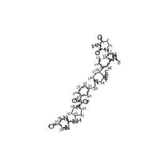 Cn1nc(N2CCC(=O)NC2=O)c2ccc(C3CCN(Cc4cccc(S(=O)(=O)N5CCC(Nc6ncc(Cl)cn6)CC5)c4)CC3(F)F)cc21